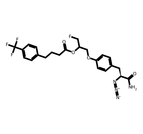 [N-]=[N+]=N[C@@H](Cc1ccc(OCC(CF)OC(=O)CCCc2ccc(C(F)(F)F)cc2)cc1)C(N)=O